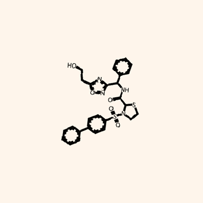 O=C(NC(c1ccccc1)c1noc(CCO)n1)C1SCCN1S(=O)(=O)c1ccc(-c2ccccc2)cc1